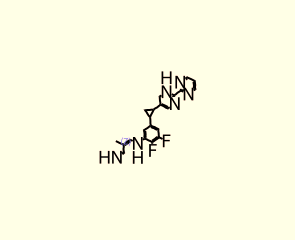 C/C(C=N)=C/Nc1cc(C2CC2C2=CN=C(c3ncccn3)NC2)cc(F)c1F